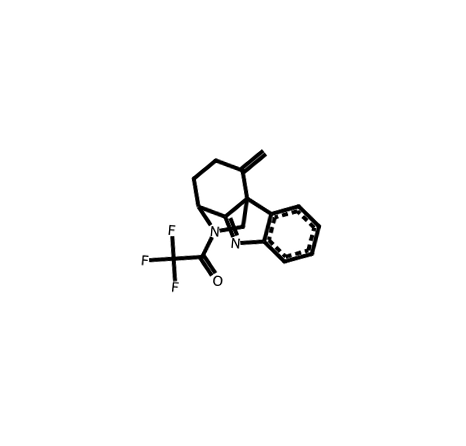 C=C1CCC2C3=Nc4ccccc4C13CN2C(=O)C(F)(F)F